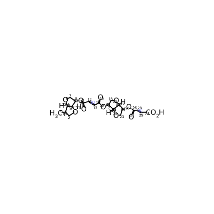 C[C@@H]1CO[C@H]2[C@@H]1OC[C@H]2OC(=O)/C=C/C(=O)O[C@@H]1CO[C@H]2[C@@H]1OC[C@H]2OC(=O)/C=C/C(=O)O